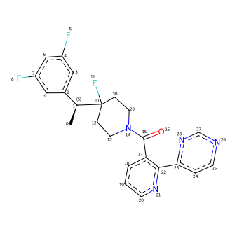 C[C@@H](c1cc(F)cc(F)c1)C1(F)CCN(C(=O)c2cccnc2-c2ccncn2)CC1